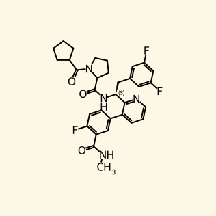 CNC(=O)c1cc(-c2cccnc2[C@H](Cc2cc(F)cc(F)c2)NC(=O)C2CCCN2C(=O)C2CCCC2)ccc1F